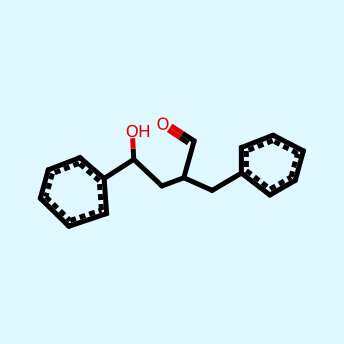 O=CC(Cc1ccccc1)CC(O)c1ccccc1